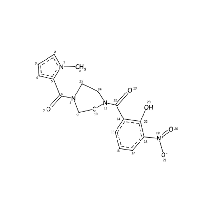 Cn1cccc1C(=O)N1CCN(C(=O)c2cccc([N+](=O)[O-])c2O)CC1